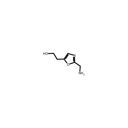 NCc1ncc(CCO)o1